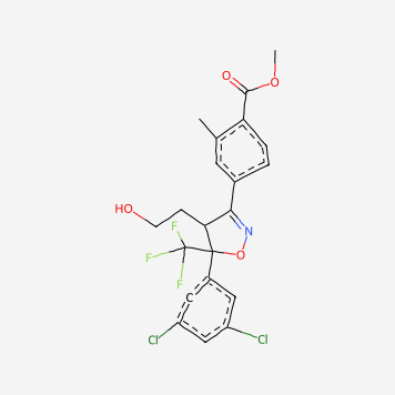 COC(=O)c1ccc(C2=NOC(c3cc(Cl)cc(Cl)c3)(C(F)(F)F)C2CCO)cc1C